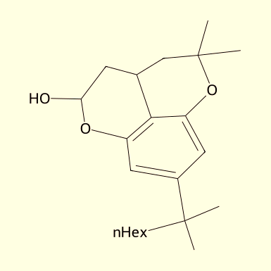 CCCCCCC(C)(C)c1cc2c3c(c1)OC(C)(C)CC3CC(O)O2